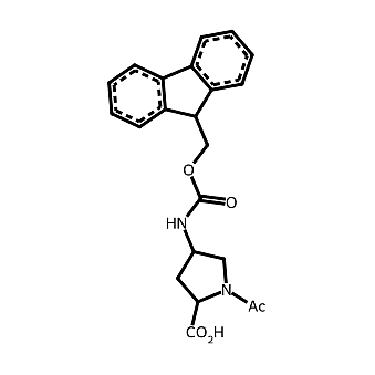 CC(=O)N1CC(NC(=O)OCC2c3ccccc3-c3ccccc32)CC1C(=O)O